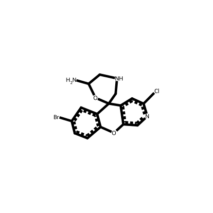 NC1CNCC2(O1)c1cc(Br)ccc1Oc1cnc(Cl)cc12